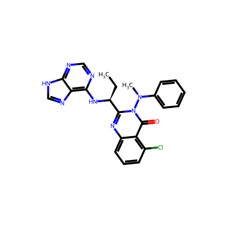 CC[C@H](Nc1ncnc2[nH]cnc12)c1nc2cccc(Cl)c2c(=O)n1N(C)c1ccccc1